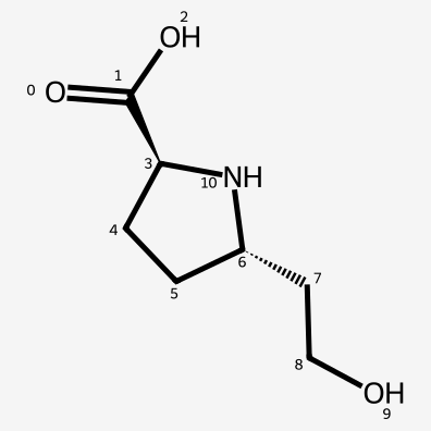 O=C(O)[C@@H]1CC[C@@H](CCO)N1